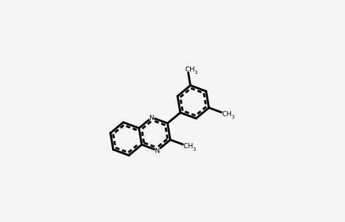 Cc1cc(C)cc(-c2nc3ccccc3nc2C)c1